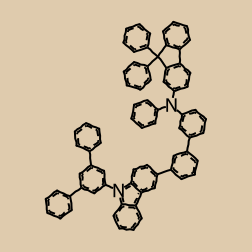 c1ccc(-c2cc(-c3ccccc3)cc(-n3c4ccccc4c4cc(-c5cccc(-c6cccc(N(c7ccccc7)c7ccc8c(c7)C(c7ccccc7)(c7ccccc7)c7ccccc7-8)c6)c5)ccc43)c2)cc1